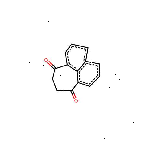 O=C1CCC(=O)c2cccc3cccc1c23